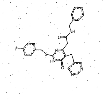 O=C(Cc1nc(SCc2ccc(F)cc2)[nH]c(=O)c1Cc1cncnc1)NCc1ccccc1